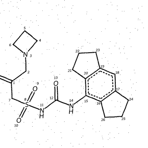 C=C(CN1CCC1)CS(=O)(=O)NC(=O)Nc1c2c(cc3c1CCC3)CCC2